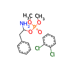 COP(=O)(OC)OC(N)Cc1ccccc1.Clc1ccccc1Cl